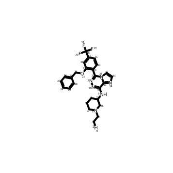 [2H]CCN1CCCC(Nc2nnc(-c3ccc(C(F)(F)F)cc3OCc3ccccc3)n3ccnc23)C1